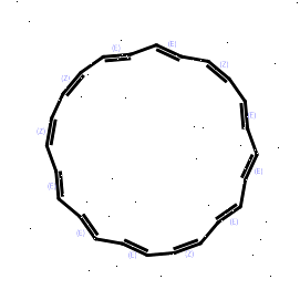 C1=C\C=C\C=C\C=C/C=C/C=C/C=C/C=C\C=C\C=C\C=C\C=C/1